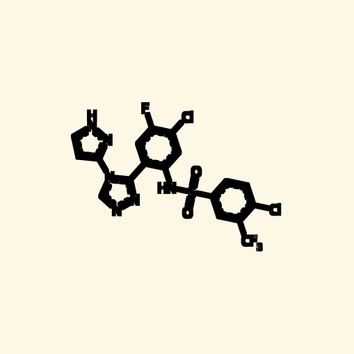 O=S(=O)(Nc1cc(Cl)c(F)cc1-c1nncn1-c1cc[nH]n1)c1ccc(Cl)c(C(F)(F)F)c1